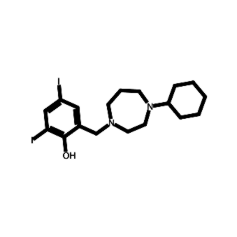 Oc1c(I)cc(I)cc1CN1CCCN(C2CCCCC2)CC1